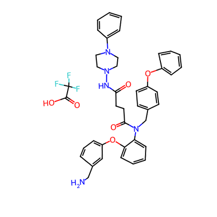 NCc1cccc(Oc2ccccc2N(Cc2ccc(Oc3ccccc3)cc2)C(=O)CCC(=O)NN2CCN(c3ccccc3)CC2)c1.O=C(O)C(F)(F)F